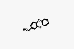 OCc1ccc(Oc2ccccc2)c(F)c1